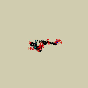 COc1cc(C(=O)OCCCCC(C)ON(O)O)ccc1OC(=O)OCC(=O)[C@@]12OC(C)(C)O[C@@H]1CC1C3C[C@H](F)C4=CC(=O)C=C[C@]4(C)[C@@]3(F)[C@@H](O)C[C@@]12C